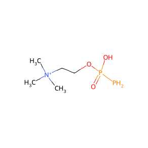 C[N+](C)(C)CCOP(=O)(O)P